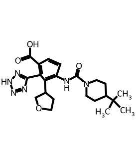 CC(C)(C)C1CCN(C(=O)Nc2ccc(C(=O)O)c(-c3nn[nH]n3)c2C2CCOC2)CC1